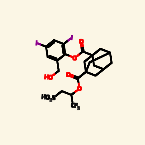 O=C(Oc1c(I)cc(I)cc1CO)C12CC3CC(C1)CC(C(=O)OC(CS(=O)(=O)O)C(F)(F)F)(C3)C2